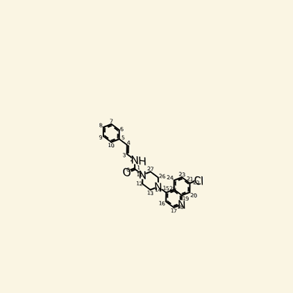 O=C(NC=Cc1ccccc1)N1CCN(c2ccnc3cc(Cl)ccc23)CC1